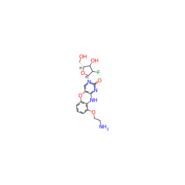 NCCOc1cccc2c1Nc1nc(=O)n([C@@H]3O[C@H](CO)C(O)C3F)cc1O2